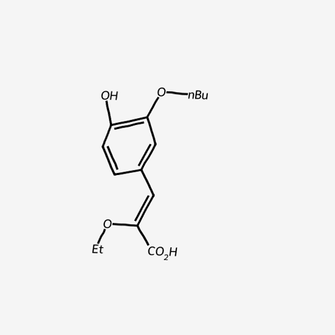 CCCCOc1cc(/C=C(\OCC)C(=O)O)ccc1O